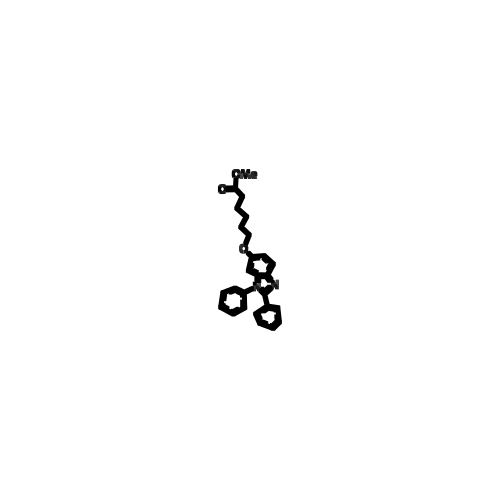 COC(=O)CCCCCOc1ccc2nc(-c3ccccc3)n(-c3ccccc3)c2c1